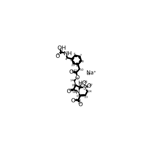 O=C(O)NCc1cccc(CC(=O)OC[C@@H]2C(=O)N3C(C(=O)[O-])=CCS(=O)(=O)[C@@H]23)c1.[Na+]